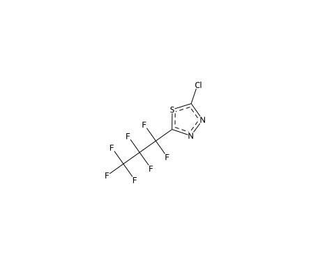 FC(F)(F)C(F)(F)C(F)(F)c1nnc(Cl)s1